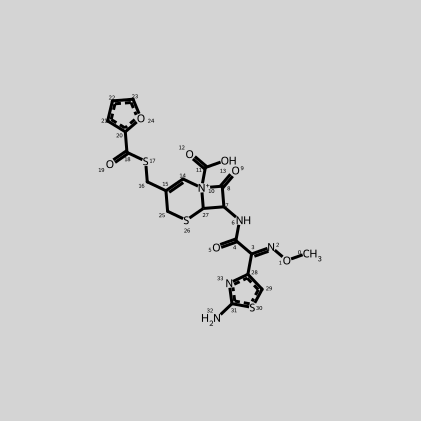 CON=C(C(=O)NC1C(=O)[N+]2(C(=O)O)C=C(CSC(=O)c3ccco3)CSC12)c1csc(N)n1